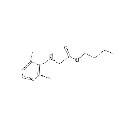 CCCCOC(=O)CNc1c(C)cccc1C